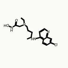 CCN(CCCC(C)Nc1ccnc2cc(Cl)ccc12)CC(=O)NO